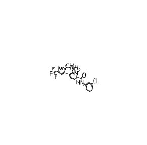 Cn1nc(C(F)(F)F)cc1-c1ccc(C(=O)Nc2cccc(Cl)c2)nc1N